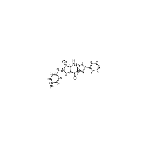 O=C1c2[nH]c3cc(-c4ccncc4)nn3c(=O)c2CN1Cc1ccc(F)cc1